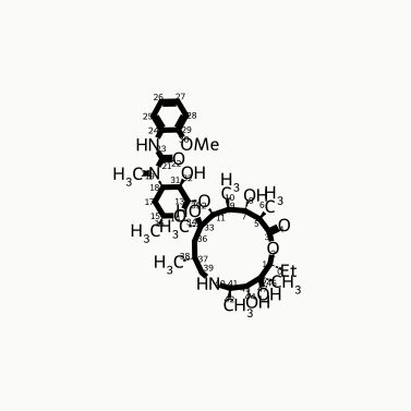 CC[C@H]1OC(=O)[C@H](C)[C@@H](O)[C@H](C)[C@@H](O[C@@H]2O[C@H](C)C[C@H](N(C)C(=O)Nc3ccccc3OC)[C@H]2O)[C@](C)(O)C[C@@H](C)CN[C@H](C)[C@@H](O)[C@]1(C)O